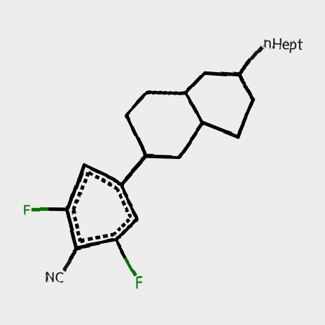 CCCCCCCC1CCC2CC(c3cc(F)c(C#N)c(F)c3)CCC2C1